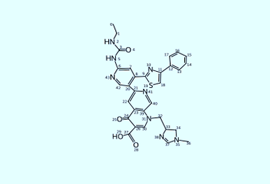 CCNC(=O)Nc1cc(-c2nc(-c3ccccc3)cs2)c(-c2cc3c(=O)c(C(=O)O)cn(CC4CN(C)C=N4)c3cn2)cn1